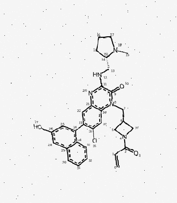 C=CC(=O)N1CC(Cn2c(=O)c(NC[C@@H]3CCCN3C)nc3cc(-c4cc(O)cc5ccccc45)c(Cl)cc32)C1